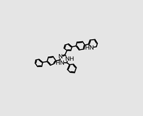 C1=CCNC(c2ccc(-c3cccc(C4=NC(c5ccc(-c6ccccc6)cc5)NC(c5ccccc5)N4)c3)cc2)=C1